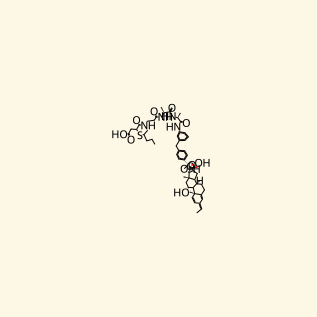 C/C=C1\C=C[C@@]2(C)C(=C1)CC[C@@H]1C2[C@@H](O)C[C@@]2(C)C1C[C@H]1O[C@@H](c3ccc(Cc4cccc(NC(=O)[C@H](C)NC(=O)[C@H](C)NC(=O)CCNC(=O)C(CC(=O)O)SC(C)CCC)c4)cc3)O[C@]12C(=O)CO